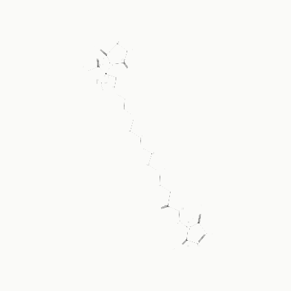 O=C(CCOCCOCCOCCOCC(NO)(C(=O)O)N1C(=O)CCC1=O)CCN1C(=O)C=CC1=O